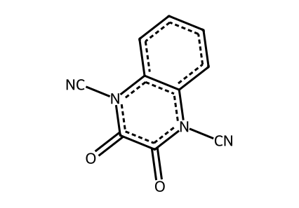 N#Cn1c(=O)c(=O)n(C#N)c2ccccc21